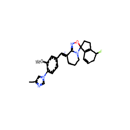 COc1cc(/C=C2\CCCN3C2=NOC32CCC3=C2C=CCC3F)ccc1-n1cnc(C)c1